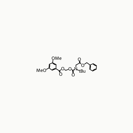 COc1cc(OC)cc(C(=O)OCOC(=O)N(CC(=O)OCc2ccccc2)C(C)(C)C)c1